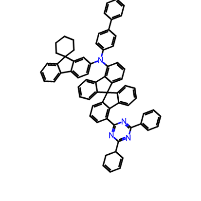 C1=CCC(c2nc(-c3ccccc3)nc(-c3cccc4c3-c3ccccc3C43c4ccccc4-c4c(N(c5ccc(-c6ccccc6)cc5)c5ccc6c(c5)C5(CCCCC5)c5ccccc5-6)cccc43)n2)C=C1